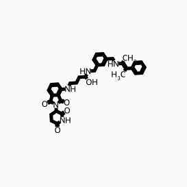 C/C(NCc1cccc(CNC(O)CCCNc2cccc3c2C(=O)N(C2CCC(=O)NC2=O)C3=O)c1)=C(/C)c1ccccc1